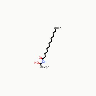 CCCCCCCCCCCCCCCCCCCCCC(=O)NC(O)CCCCCCC